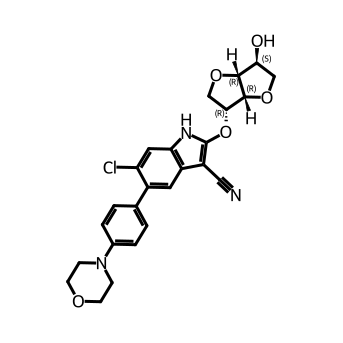 N#Cc1c(O[C@@H]2CO[C@H]3[C@@H]2OC[C@@H]3O)[nH]c2cc(Cl)c(-c3ccc(N4CCOCC4)cc3)cc12